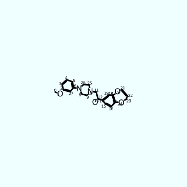 COc1cccc(N2CCN(CC(=O)c3ccc4c(c3)OC=CCO4)CC2)c1